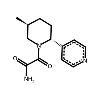 C[C@H]1CC[C@H](c2ccncc2)N(C(=O)C(N)=O)C1